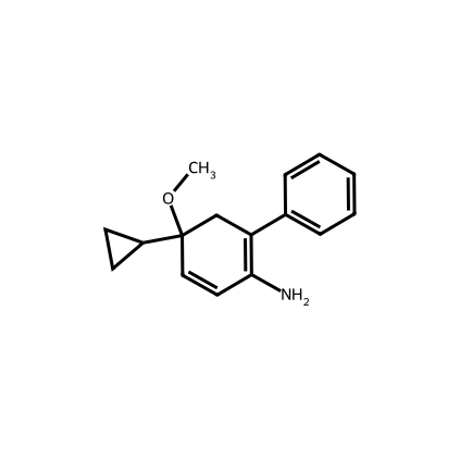 COC1(C2CC2)C=CC(N)=C(c2ccccc2)C1